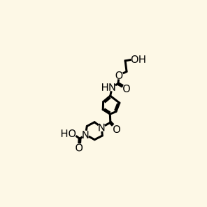 O=C(Nc1ccc(C(=O)N2CCN(C(=O)O)CC2)cc1)OCCO